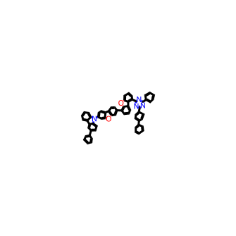 c1ccc(-c2ccc(-c3nc(-c4ccccc4)nc(-c4cccc5oc6c(-c7ccc8c(c7)oc7cc(-n9c%10ccccc%10c%10cc(-c%11ccccc%11)ccc%109)ccc78)cccc6c45)n3)cc2)cc1